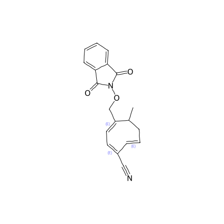 CC1C/C=C/C(C#N)=C\C=C/1CON1C(=O)c2ccccc2C1=O